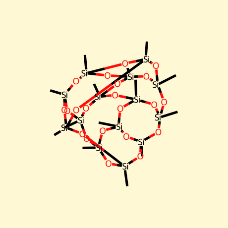 C[Si]12O[Si]3(C)O[Si]4(C)O[Si](C)(O1)O[Si]1(C)O[Si]5(C)O[Si]6(C)O[Si](C)(O[Si](C)(O5)O4)O[Si]4(C)O[Si](C)(O6)O[Si](C)(O[Si](C)(O2)O[Si](C)(O3)O4)O1